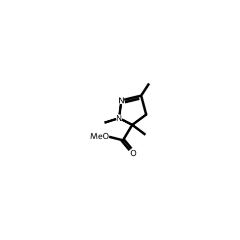 COC(=O)C1(C)CC(C)=NN1C